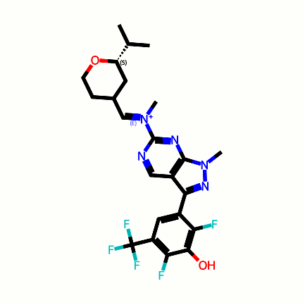 CC(C)[C@@H]1CC(/C=[N+](\C)c2ncc3c(-c4cc(C(F)(F)F)c(F)c(O)c4F)nn(C)c3n2)CCO1